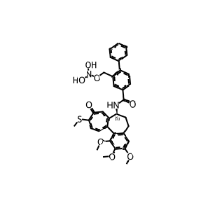 COc1cc2c(c(OC)c1OC)-c1ccc(SC)c(=O)cc1[C@@H](NC(=O)c1ccc(-c3ccccc3)c(CON(O)O)c1)CC2